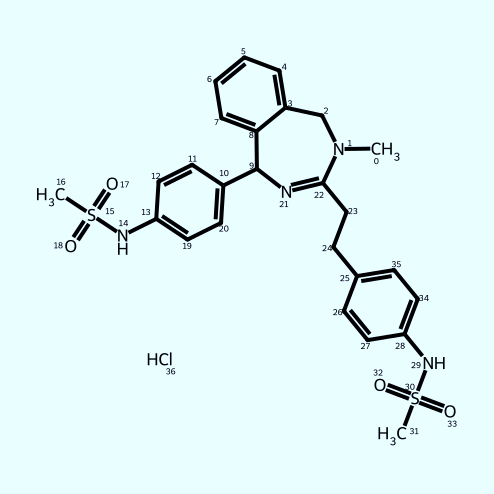 CN1Cc2ccccc2C(c2ccc(NS(C)(=O)=O)cc2)N=C1CCc1ccc(NS(C)(=O)=O)cc1.Cl